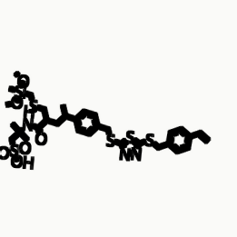 C=Cc1ccc(CSc2nnc(SCc3ccc(C(C)CC(CSC[Si](C)(OC)OC)C(=O)NC(C)(C)CS(=O)(=O)O)cc3)s2)cc1